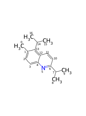 Cc1ccc2nc(C(C)C)ccc2c1C(C)C